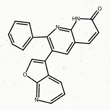 O=c1ccc2cc(-c3coc4ncccc34)c(-c3ccccc3)nc2[nH]1